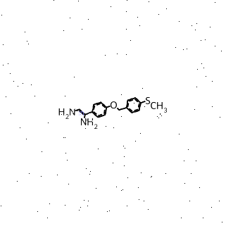 CSc1ccc(COc2ccc(/C(N)=C/N)cc2)cc1